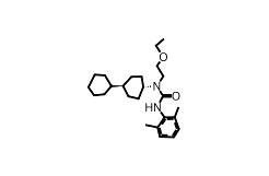 CCOCCN(C(=O)Nc1c(C)cccc1C)[C@H]1CC[C@H](C2CCCCC2)CC1